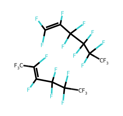 FC(=C(F)C(F)(F)C(F)(F)C(F)(F)F)C(F)(F)F.FC(F)=C(F)C(F)(F)C(F)(F)C(F)(F)C(F)(F)F